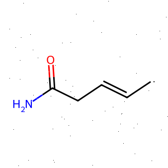 [CH2]C=CCC(N)=O